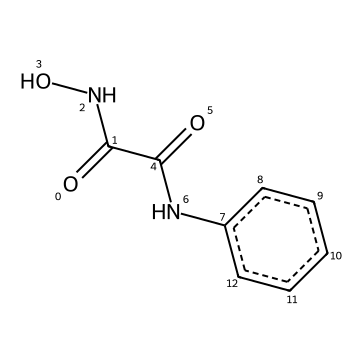 O=C(NO)C(=O)Nc1ccccc1